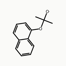 CC(C)([O])Oc1cccc2ccccc12